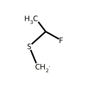 [CH2]SC(C)F